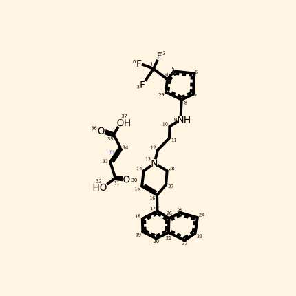 FC(F)(F)c1cccc(NCCCN2CC=C(c3cccc4ccccc34)CC2)c1.O=C(O)/C=C/C(=O)O